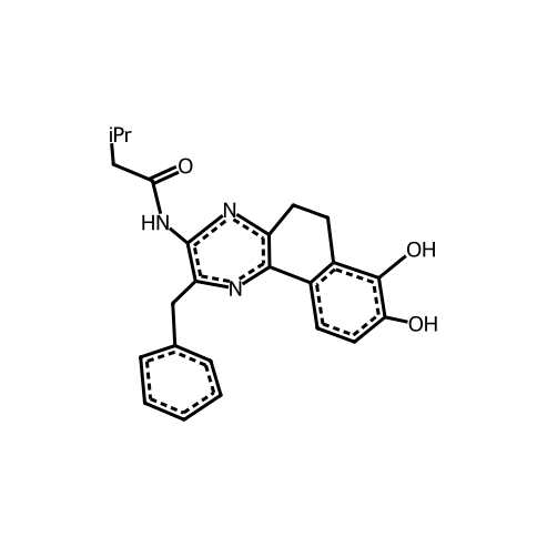 CC(C)CC(=O)Nc1nc2c(nc1Cc1ccccc1)-c1ccc(O)c(O)c1CC2